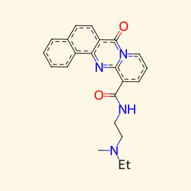 CCN(C)CCNC(=O)c1cccn2c(=O)c3ccc4ccccc4c3nc12